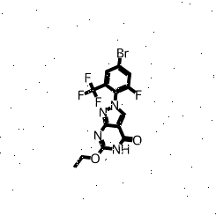 CCOc1nc2nn(-c3c(F)cc(Br)cc3C(F)(F)F)cc2c(=O)[nH]1